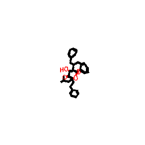 CC(C)CC1(CCc2ccccc2)OC(=O)C(C(Cc2ccccc2)Cc2ccccc2)=C(O)C1=O